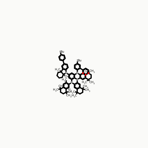 Cc1cc2c(cc1N1c3cc4c(cc3B3c5cc6c(cc5N(c5ccc(C(C)(C)C)cc5-c5ccccc5)c5cc(N7c8ccc(-c9ccc(C(C)(C)C)cc9)cc8C8(C)CCCCC78C)cc1c53)C(C)(C)CCC6(C)C)C(C)(C)CCC4(C)C)C(C)(C)CCC2(C)C